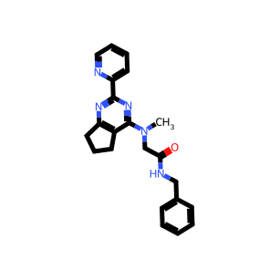 CN(CC(=O)NCc1ccccc1)c1nc(-c2ccccn2)nc2c1CCC2